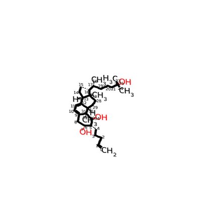 C=CCCC[C@@H]1[C@H](O)CC2=CC=C3[C@@H]4CC[C@H]([C@H](C)CCCC(C)(C)O)[C@@]4(C)CC[C@@H]3[C@@]2(C)[C@H]1O